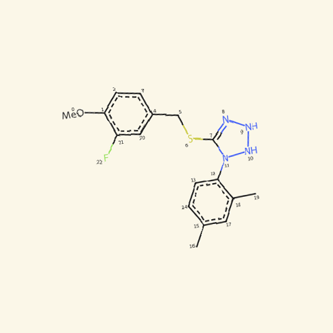 COc1ccc(CSC2=NNNN2c2ccc(C)cc2C)cc1F